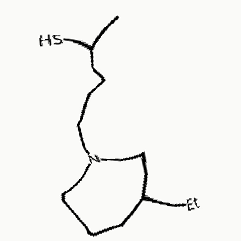 CCC1CCCN(CCC(C)S)C1